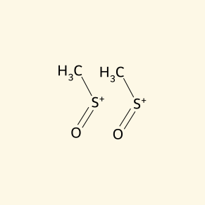 C[S+]=O.C[S+]=O